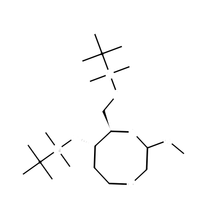 COC1COCC[C@H](O[Si](C)(C)C(C)(C)C)[C@@H](CO[Si](C)(C)C(C)(C)C)O1